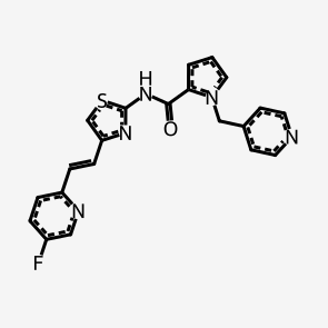 O=C(Nc1nc(/C=C/c2ccc(F)cn2)cs1)c1cccn1Cc1ccncc1